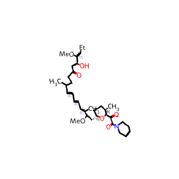 CC/C=C(\OC)C(O)CC(=O)CCC(C)/C=C/C=C/C=C(\C)C(C[C@@H]1CC[C@@H](C)C(C(=O)C(=O)N2CCCCC2)O1)OC